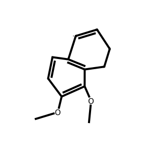 COc1ccc2c(c1OC)CCC=[C]2